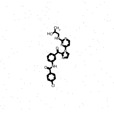 CC(O)CNc1nccc(-n2ccnc2C(=O)c2cccc(NC(=O)c3ccc(Cl)cc3)c2)n1